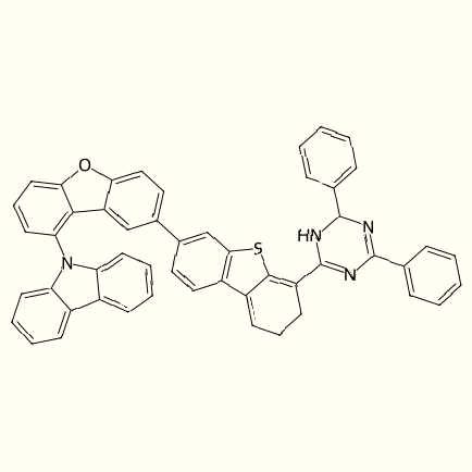 C1=c2c(sc3cc(-c4ccc5oc6cccc(-n7c8ccccc8c8ccccc87)c6c5c4)ccc23)=C(C2=NC(c3ccccc3)=NC(c3ccccc3)N2)CC1